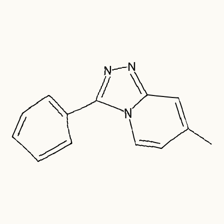 Cc1ccn2c(-c3ccccc3)nnc2c1